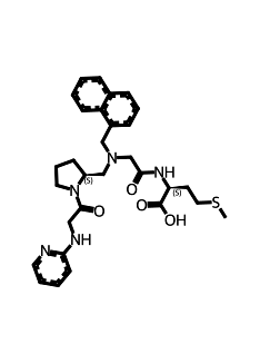 CSCC[C@H](NC(=O)CN(Cc1cccc2ccccc12)C[C@@H]1CCCN1C(=O)CNc1ccccn1)C(=O)O